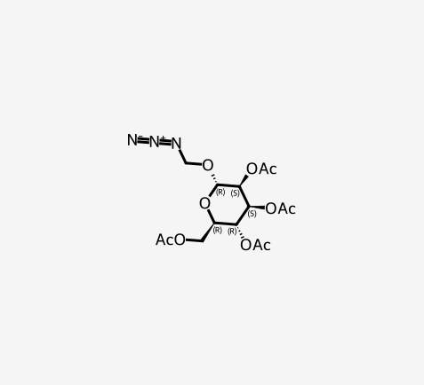 CC(=O)OC[C@H]1O[C@H](OCN=[N+]=[N-])[C@@H](OC(C)=O)[C@@H](OC(C)=O)[C@@H]1OC(C)=O